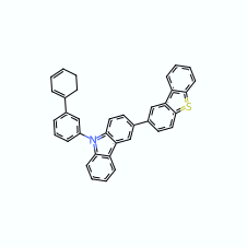 C1=CCCC(c2cccc(-n3c4ccccc4c4cc(-c5ccc6sc7ccccc7c6c5)ccc43)c2)=C1